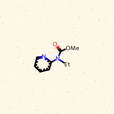 CCN(C(=O)OC)c1ccccn1